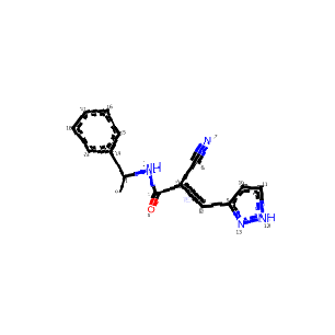 CC(NC(=O)/C(C#N)=C/c1cc[nH]n1)c1ccccc1